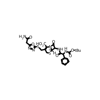 CC(C)(C)OC(=O)NC(C(=O)NC1C(=O)N2C(C(=O)O)=C(CSc3nnc(CC(N)=O)o3)CS[C@@H]12)c1ccccc1